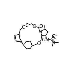 CC1CC(N[S+]([O-])N(C)C)C2COC3CCC(CC3)c3cccc(c3)CCCCOC(=O)N12